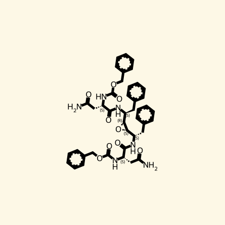 NC(=O)C[C@H](NC(=O)OCc1ccccc1)C(=O)N[C@@H](Cc1ccccc1)[C@@H]1O[C@@H]1[C@H](Cc1ccccc1)NC(=O)[C@H](CC(N)=O)NC(=O)OCc1ccccc1